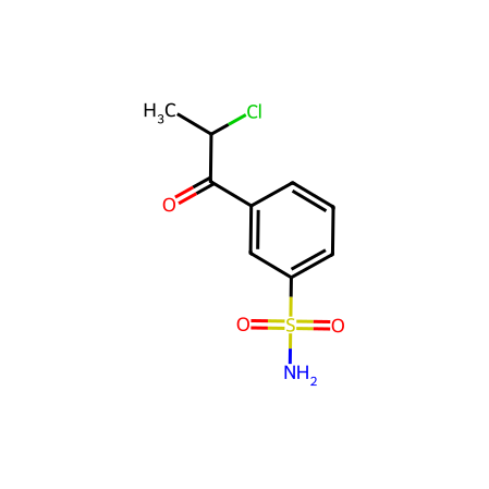 CC(Cl)C(=O)c1cccc(S(N)(=O)=O)c1